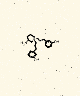 N[C@H]1CCC[N+](CCCc2cccc(O)c2)(CCCc2cccc(O)c2)C1